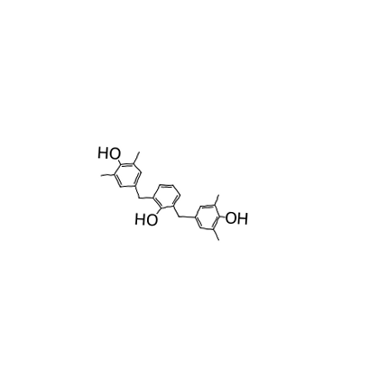 Cc1cc(Cc2cccc(Cc3cc(C)c(O)c(C)c3)c2O)cc(C)c1O